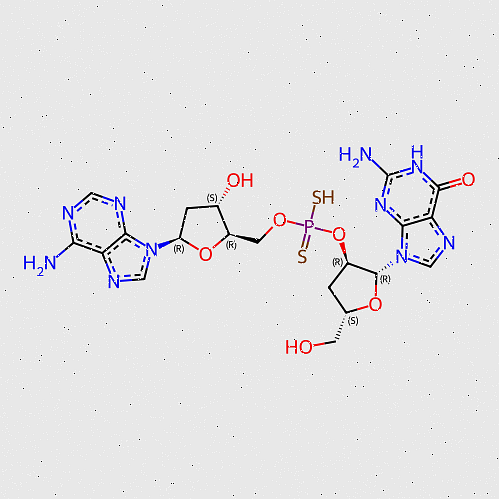 Nc1nc2c(ncn2[C@@H]2O[C@H](CO)C[C@H]2OP(=S)(S)OC[C@H]2O[C@@H](n3cnc4c(N)ncnc43)C[C@@H]2O)c(=O)[nH]1